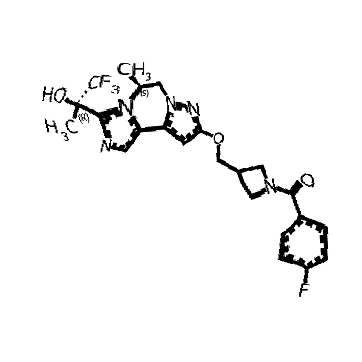 C[C@H]1Cn2nc(OCC3CN(C(=O)c4ccc(F)cc4)C3)cc2-c2cnc([C@@](C)(O)C(F)(F)F)n21